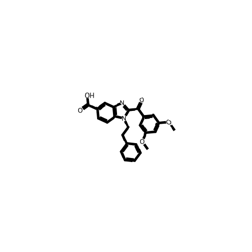 COc1cc(OC)cc(C(=O)c2nc3cc(C(=O)O)ccc3n2CCc2ccccc2)c1